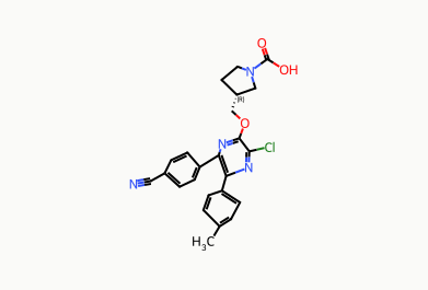 Cc1ccc(-c2nc(Cl)c(OC[C@@H]3CCN(C(=O)O)C3)nc2-c2ccc(C#N)cc2)cc1